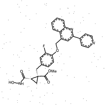 COC(=O)[C@@]1(Cc2ccc(OCc3cc(-c4ccncc4)nc4ccccc34)c(F)c2)C[C@@H]1C(=O)NO